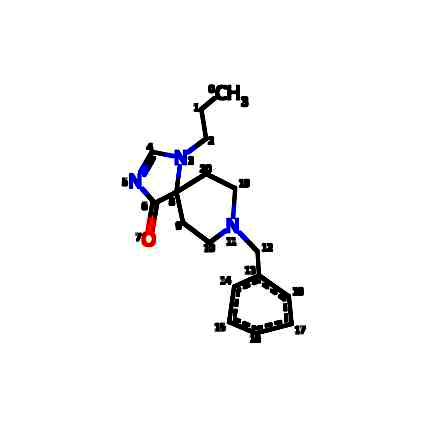 CCCN1C=NC(=O)C12CCN(Cc1ccccc1)CC2